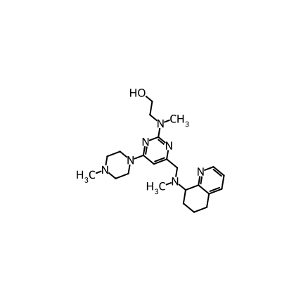 CN1CCN(c2cc(CN(C)C3CCCc4cccnc43)nc(N(C)CCO)n2)CC1